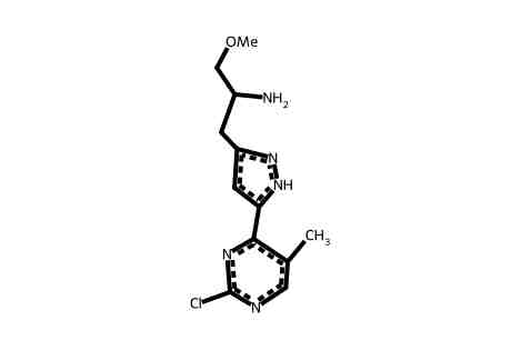 COCC(N)Cc1cc(-c2nc(Cl)ncc2C)[nH]n1